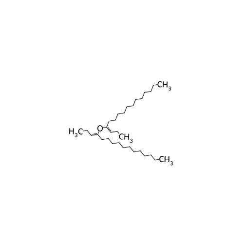 CCC=C(CCCCCCCCCCCC)OC(=CCC)CCCCCCCCCCCC